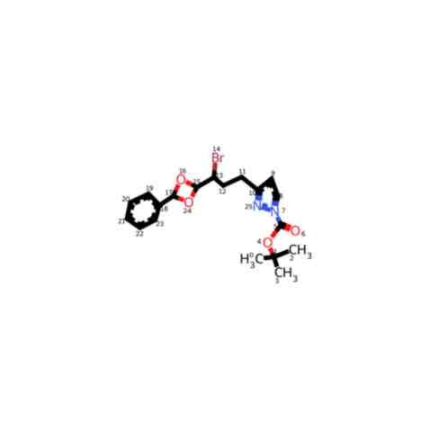 CC(C)(C)OC(=O)n1ccc(CCC(Br)C2OC(c3ccccc3)O2)n1